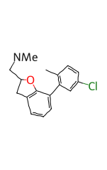 CNCC1Cc2cccc(-c3cc(Cl)ccc3C)c2O1